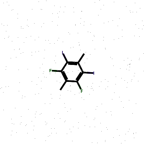 Cc1c(F)c(I)c(C)c(I)c1F